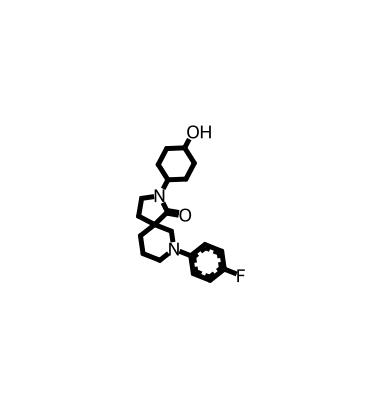 O=C1N(C2CCC(O)CC2)CCC12CCCN(c1ccc(F)cc1)C2